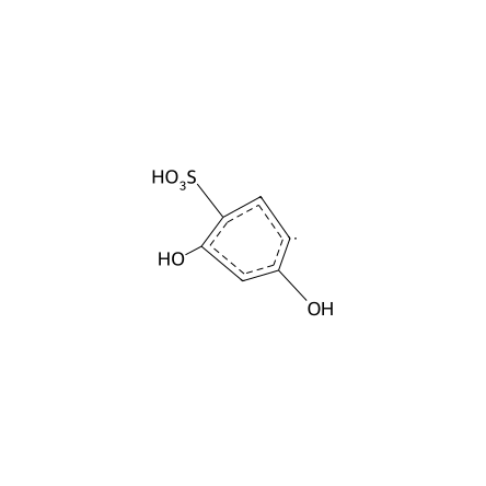 O=S(=O)(O)c1c[c]c(O)cc1O